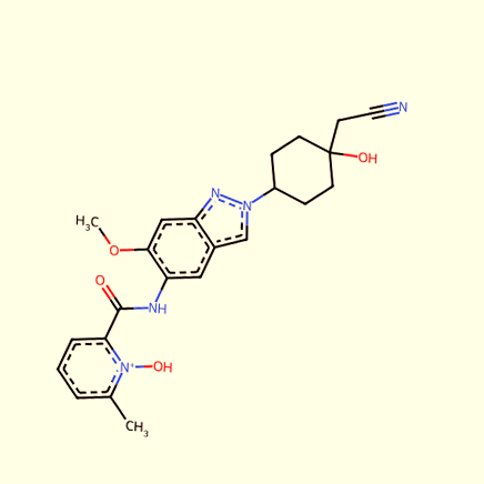 COc1cc2nn(C3CCC(O)(CC#N)CC3)cc2cc1NC(=O)c1cccc(C)[n+]1O